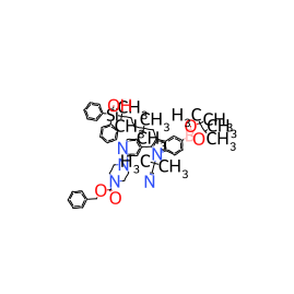 CC(C)(CCC(C)(C)[Si](O)(c1ccccc1)c1ccccc1)Cc1c(-c2ccnc(N3CCN(C(=O)OCc4ccccc4)CC3)c2)n(C(C)(C)C#N)c2ccc(B3OC(C)(C)C(C)(C)O3)cc12